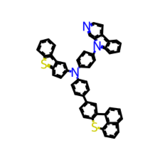 c1cc2c3c(cccc3c1)-c1cc(-c3ccc(N(c4ccc(-n5c6ccccc6c6ccncc65)cc4)c4ccc5sc6ccccc6c5c4)cc3)ccc1S2